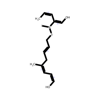 C/C=C\C(=C/O)N(I)SC/C=C/C/C(C)=C\C=C/O